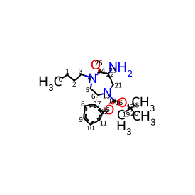 CCCCN1C[C@@H](c2ccccc2)N(C(=O)OC(C)(C)C)C[C@@H](N)C1=O